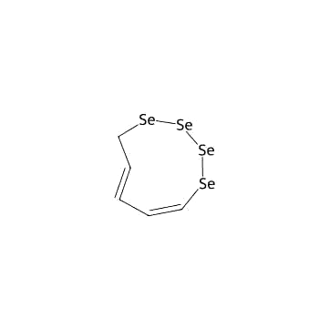 C1=C\[Se][Se][Se][Se]C/C=C/1